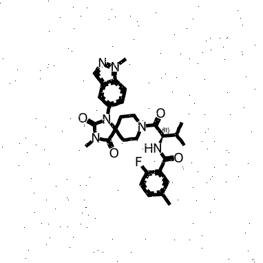 Cc1ccc(F)c(C(=O)N[C@@H](C(=O)N2CCC3(CC2)C(=O)N(C)C(=O)N3c2ccc3c(cnn3C)c2)C(C)C)c1